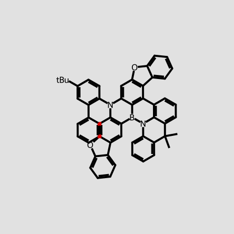 CC(C)(C)c1ccc(N2c3cc4oc5ccccc5c4cc3B3c4c2cc2oc5ccccc5c2c4-c2cccc4c2N3c2ccccc2C4(C)C)c(-c2ccccc2)c1